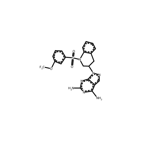 Nc1nc(N)c2cnn(C3Cc4ccccc4N(S(=O)(=O)c4cccc(OC(F)(F)F)c4)C3)c2n1